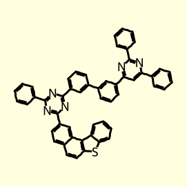 c1ccc(-c2cc(-c3cccc(-c4cccc(-c5nc(-c6ccccc6)nc(-c6ccc7ccc8sc9ccccc9c8c7c6)n5)c4)c3)nc(-c3ccccc3)n2)cc1